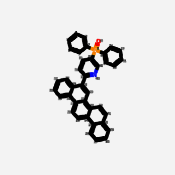 O=P(c1ccccc1)(c1ccccc1)c1ccc(-c2cc3c(ccc4c5ccccc5ccc43)c3ccccc23)nc1